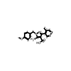 COc1ccc(Cn2nc(-c3cnncc3C)c(C(=O)O)c2N)cc1